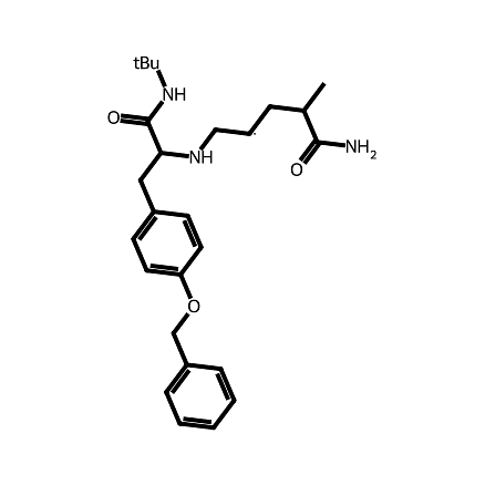 CC(C[CH]CNC(Cc1ccc(OCc2ccccc2)cc1)C(=O)NC(C)(C)C)C(N)=O